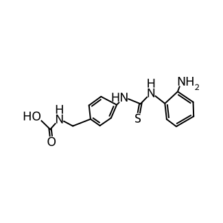 Nc1ccccc1NC(=S)Nc1ccc(CNC(=O)O)cc1